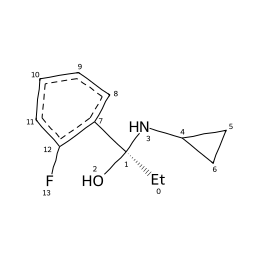 CC[C@@](O)(NC1CC1)c1ccccc1F